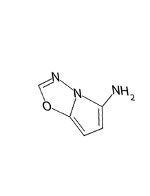 Nc1ccc2ocnn12